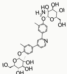 Cc1cc(-c2ccnc(-c3ccc(O[C@H]4O[C@H](CO)[C@@H](O)[C@H](O)[C@]4(N)O)c(C)c3)c2)ccc1O[C@H]1O[C@H](CO)[C@@H](O)[C@H](O)[C@]1(C)O